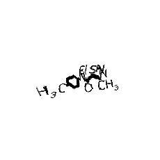 Cc1ccc(N(Cl)C(=O)c2snnc2C)cc1